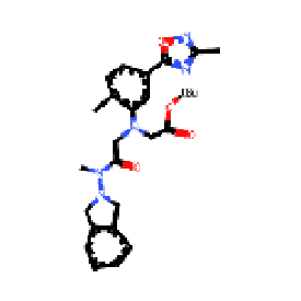 Cc1noc(-c2ccc(C)c(N(CC(=O)OC(C)(C)C)CC(=O)N(C)N3Cc4ccccc4C3)c2)n1